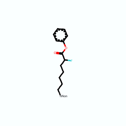 CCCCCCCCCCCCCCC(F)C(=O)Oc1ccccc1